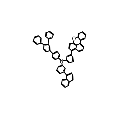 c1ccc(-c2ccc(-c3ccc(N(c4cccc(-c5cccc6ccccc56)c4)c4cccc(-c5ccc6c7c(cccc57)-c5ccccc5O6)c4)cc3)cc2-c2ccccc2)cc1